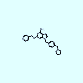 Nc1nc(OCc2ccncc2)nc2c1ccn2Cc1ccc(CN2CCCC2)cc1